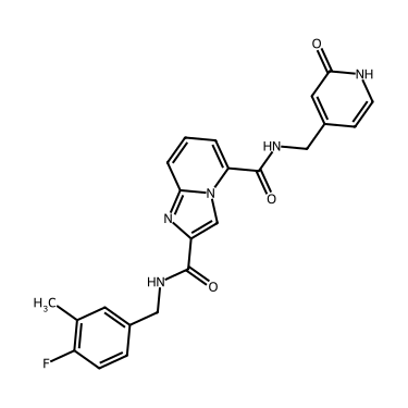 Cc1cc(CNC(=O)c2cn3c(C(=O)NCc4cc[nH]c(=O)c4)cccc3n2)ccc1F